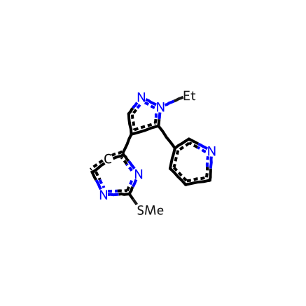 CCn1ncc(-c2ccnc(SC)n2)c1-c1cccnc1